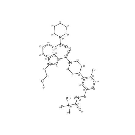 COCCn1cc(C(=O)N2CCC(c3cc(CNC(=O)C(F)(F)F)ccc3F)CC2)c2c(C(=O)N3CCCCC3)cccc21